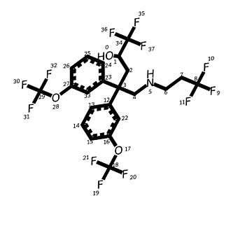 OC(CC(CNCCC(F)(F)F)(c1cccc(OC(F)(F)F)c1)c1cccc(OC(F)(F)F)c1)C(F)(F)F